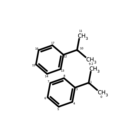 C[C](C)c1ccccc1.C[C](C)c1ccccc1